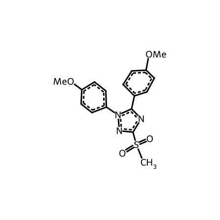 COc1ccc(-c2nc(S(C)(=O)=O)nn2-c2ccc(OC)cc2)cc1